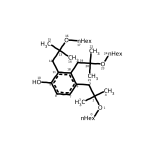 CCCCCCOC(C)(C)Cc1ccc(O)c(CC(C)(C)OCCCCCC)c1CC(C)(C)OCCCCCC